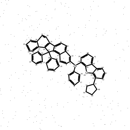 c1ccc(N(c2ccc3c4c(ccc3c2)-c2ccc3ccccc3c2C4(c2ccccc2)c2ccccc2)c2cccc3c2oc2c(C4CCCC4)cccc23)cc1